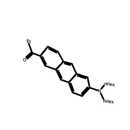 CCCCCCN(CCCCCC)c1ccc2cc3cc(C(=O)CC)ccc3cc2c1